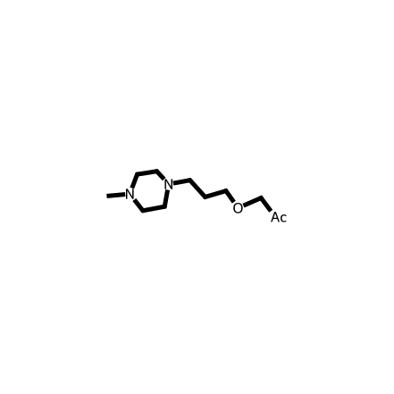 CC(=O)COCCCN1CCN(C)CC1